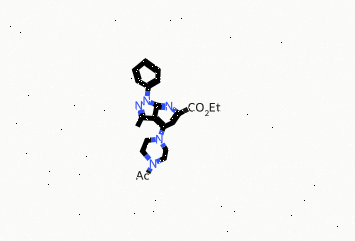 CCOC(=O)c1cc(N2CCN(C(C)=O)CC2)c2c(C)nn(-c3ccccc3)c2n1